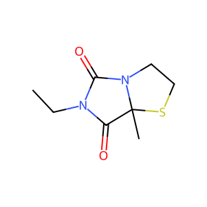 CCN1C(=O)N2CCSC2(C)C1=O